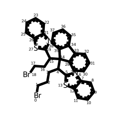 BrCCCC(c1nc2ccccc2s1)C1(C(CCBr)c2nc3ccccc3s2)c2ccccc2-c2ccccc21